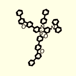 c1ccc(-c2ccc(N3c4cc(-c5ccc6c(c5)oc5ccc(-c7ccccc7)cc56)ccc4B4c5ccc(-c6ccc7c(c6)oc6ccc(-c8ccccc8)cc67)cc5Oc5cc(-n6c7ccccc7c7ccccc76)cc3c54)cc2)cc1